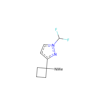 CNC1(c2ccn(C(F)F)n2)CCC1